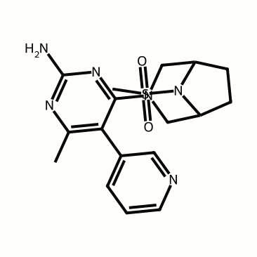 Cc1nc(N)nc(N2CC3CCC(C2)N3S(C)(=O)=O)c1-c1cccnc1